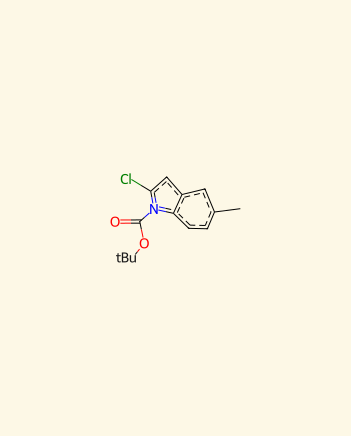 Cc1ccc2c(c1)cc(Cl)n2C(=O)OC(C)(C)C